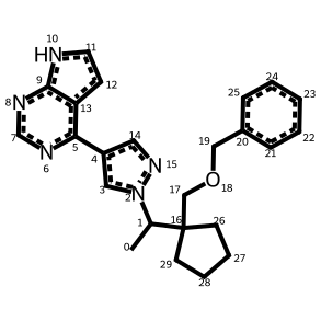 CC(n1cc(-c2ncnc3[nH]ccc23)cn1)C1(COCc2ccccc2)CCCC1